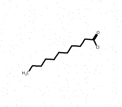 CCCCCCCCCCC(=O)Cl